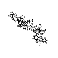 Cc1c(C)c(S(=O)(=O)NC(=N)NCCC[C@H](NC(=O)c2cccn(C(C)c3ccccc3)c2=O)C(=O)O)c(C)c2c1OC(C)(C)CC2